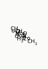 Cc1cccc(C(C)CN2C(=O)c3ccc4c5c(ccc(c35)C2=O)C(=O)N(CC(C)c2cccc(C)c2)C4=O)c1